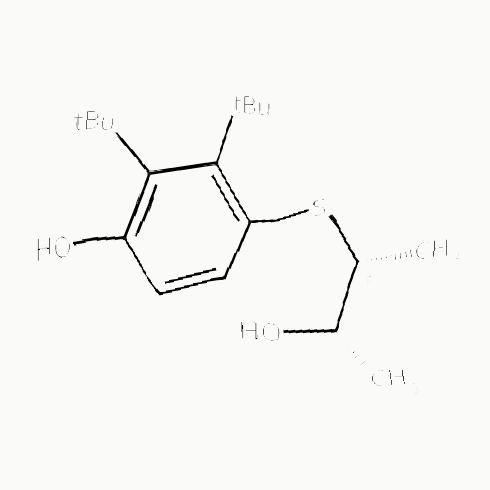 C[C@H](O)[C@@H](C)Sc1ccc(O)c(C(C)(C)C)c1C(C)(C)C